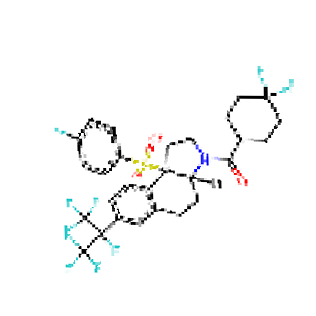 O=C(C1CCC(F)(F)CC1)N1CC[C@@]2(S(=O)(=O)c3ccc(F)cc3)c3ccc(C(F)(C(F)(F)F)C(F)(F)F)cc3CC[C@@H]12